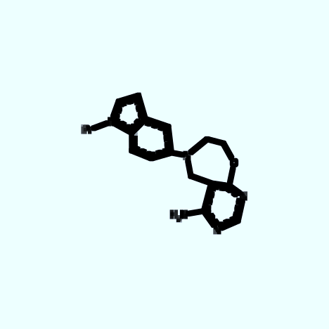 CC(C)n1ccc2cc(N3CCOc4ncnc(N)c4C3)ccc21